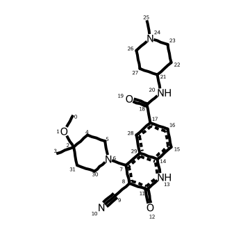 COC1(C)CCN(c2c(C#N)c(=O)[nH]c3ccc(C(=O)NC4CCN(C)CC4)cc23)CC1